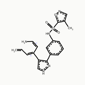 C=C/C=C(\C=C/N)c1c[nH]nc1-c1cccc(NS(=O)(=O)c2oncc2C)c1